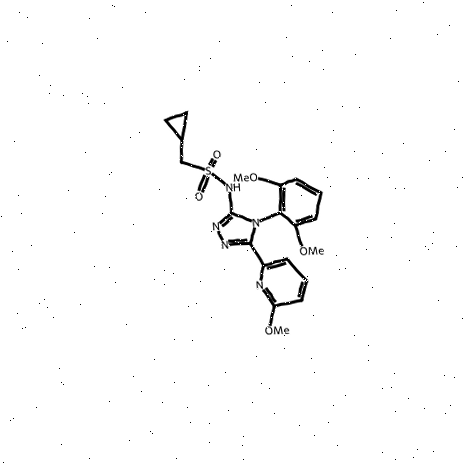 COc1cccc(-c2nnc(NS(=O)(=O)CC3CC3)n2-c2c(OC)cccc2OC)n1